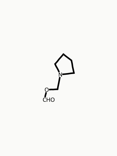 O=COCN1CCCC1